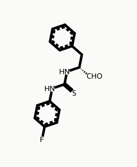 O=C[C@@H](Cc1ccccc1)NC(=S)Nc1ccc(F)cc1